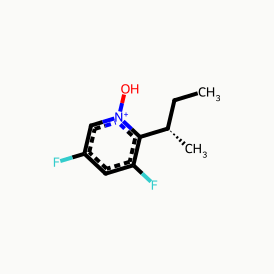 CC[C@H](C)c1c(F)cc(F)c[n+]1O